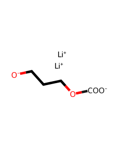 O=C([O-])OCCC[O-].[Li+].[Li+]